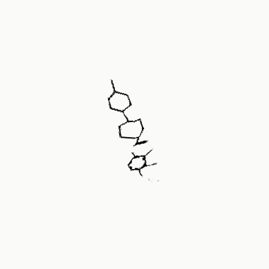 COc1ccc(OC(=O)C2CCC(C3CCC(C)CC3)CC2)c(F)c1F